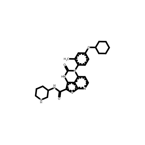 Cc1cc(OC2CCCCC2)ccc1N1C(=O)Nc2c(C(=O)NC3CCCNC3)sc3nccc1c23